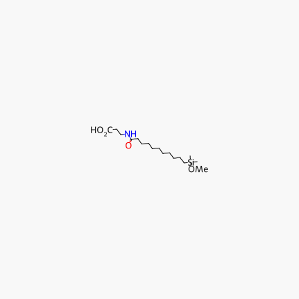 CO[Si](C)(C)CCCCCCCCCCC(=O)NCCC(=O)O